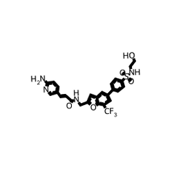 Nc1ccc(/C=C/C(=O)NCc2cc3cc(-c4ccc(S(=O)(=O)NCCO)cc4)cc(C(F)(F)F)c3o2)cn1